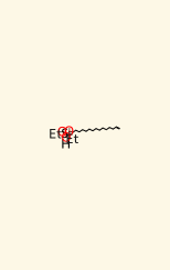 C=CCCCCCCCCCCCCCO[SiH](OCC)OCC